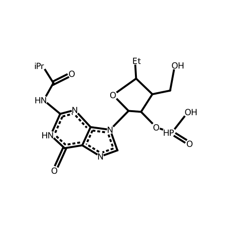 CCC1OC(n2cnc3c(=O)[nH]c(NC(=O)C(C)C)nc32)C(O[PH](=O)O)C1CO